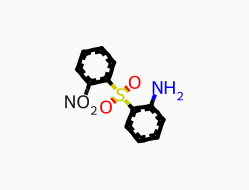 Nc1ccccc1S(=O)(=O)c1ccccc1[N+](=O)[O-]